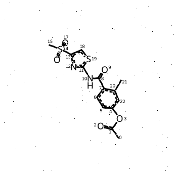 CC(=O)Oc1ccc(C(=O)Nc2nc(S(C)(=O)=O)cs2)c(C)c1